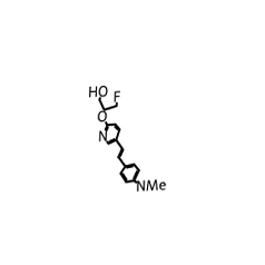 CNc1ccc(/C=C/c2ccc(OC(CO)CF)nc2)cc1